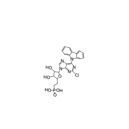 O=P(O)(O)CCC1OC(n2cnc3c(-n4c5ccccc5c5ccccc54)nc(Cl)nc32)C(O)C1O